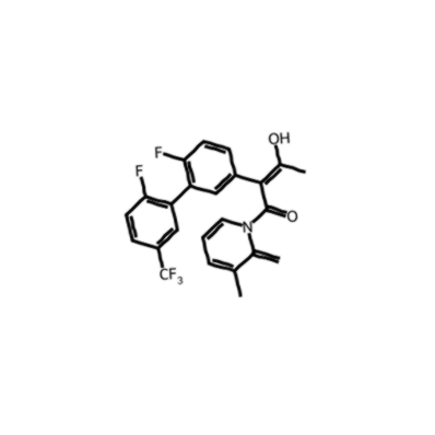 C=C1C(C)=CC=CN1C(=O)/C(=C(\C)O)c1ccc(F)c(-c2cc(C(F)(F)F)ccc2F)c1